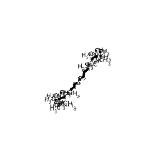 CN(C)C(CO[SiH2]CCCSSCCC[SiH2]OCC(N(C)C)(N(C)C)N(C)C)(N(C)C)N(C)C